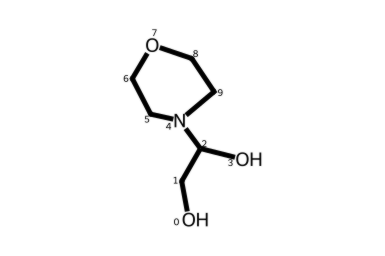 OCC(O)N1CCOCC1